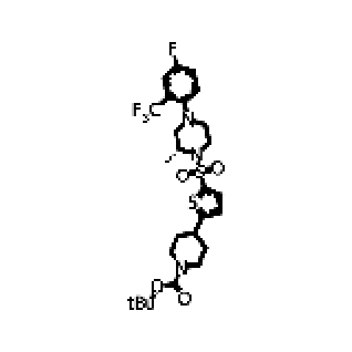 C[C@@H]1CN(c2ccc(F)cc2C(F)(F)F)CCN1S(=O)(=O)c1ccc(C2CCN(C(=O)OC(C)(C)C)CC2)s1